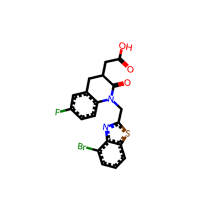 O=C(O)CC1Cc2cc(F)ccc2N(Cc2nc3c(Br)cccc3s2)C1=O